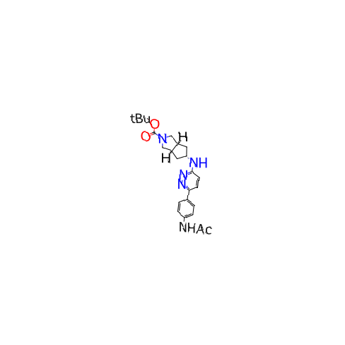 CC(=O)Nc1ccc(-c2ccc(N[C@@H]3C[C@@H]4CN(C(=O)OC(C)(C)C)C[C@@H]4C3)nn2)cc1